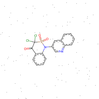 O=C1c2ccccc2N(c2cnc3ccccc3c2)S(=O)(=O)C1(Cl)Cl